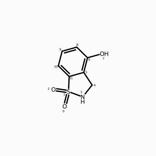 O=S1(=O)NCc2c(O)cccc21